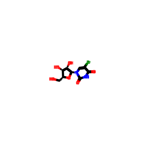 O=c1[nH]c(=O)n([C@@H]2O[C@H](CO)[C@H](O)[C@@H]2O)cc1Br